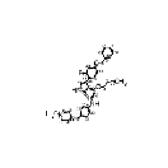 COCCOc1nc(Nc2ccc(CN3CCN(C)CC3)cc2)nc2[nH]cc(-c3ccc(OCc4ccccc4)cc3F)c12